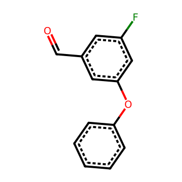 O=Cc1cc(F)cc(Oc2ccccc2)c1